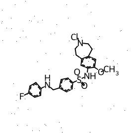 COc1cc2c(cc1NS(=O)(=O)c1ccc(CNc3ccc(F)cc3)cc1)CCN(Cl)CC2